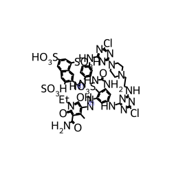 CCn1c(O)c(/N=N/c2cc(Nc3nc(Cl)nc(NCCN4CCN(c5nc(Cl)nc(Nc6ccc(/N=N\c7cc8c(S(=O)(=O)O)cc(S(=O)(=O)O)cc8cc7S(=O)(=O)O)c(NC(N)=O)c6)n5)CC4)n3)ccc2S(=O)(=O)O)c(C)c(C(N)=O)c1=O